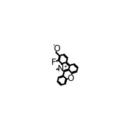 COCc1ccc2c3cccc4c3c([n+](C)c2c1F)-c1ccccc1O4